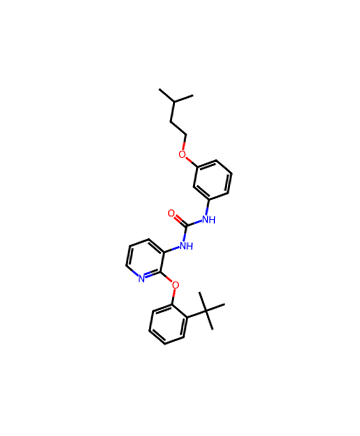 CC(C)CCOc1cccc(NC(=O)Nc2cccnc2Oc2ccccc2C(C)(C)C)c1